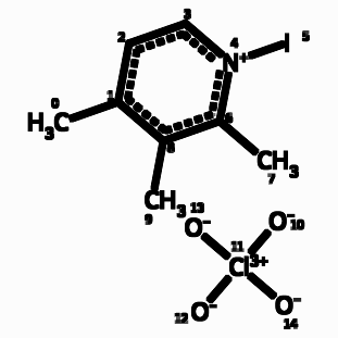 Cc1cc[n+](I)c(C)c1C.[O-][Cl+3]([O-])([O-])[O-]